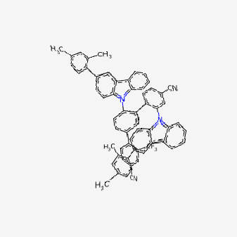 Cc1ccc(-c2ccc3c(c2)c2ccccc2n3-c2ccc(-c3ccc(C#N)cc3C(F)(F)F)cc2-c2ccc(C#N)cc2-n2c3ccccc3c3cc(-c4ccc(C)cc4C)ccc32)c(C)c1